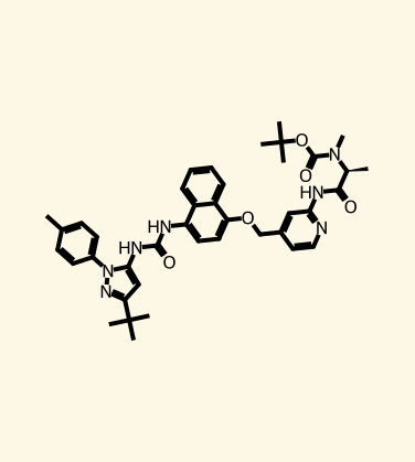 Cc1ccc(-n2nc(C(C)(C)C)cc2NC(=O)Nc2ccc(OCc3ccnc(NC(=O)[C@H](C)N(C)C(=O)OC(C)(C)C)c3)c3ccccc23)cc1